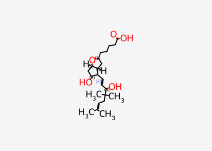 CC(C)=CCC(C)(C)[C@H](O)/C=C/C1[C@H](O)C[C@@H]2O[C@@H](CCCCC(=O)O)C[C@H]12